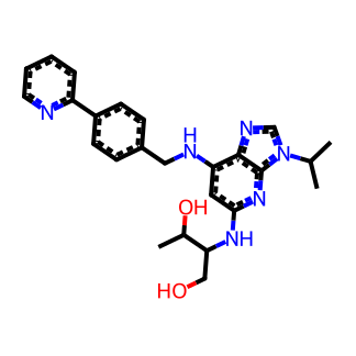 CC(O)C(CO)Nc1cc(NCc2ccc(-c3ccccn3)cc2)c2ncn(C(C)C)c2n1